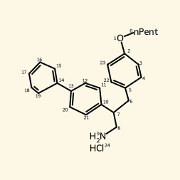 CCCCCOc1ccc(CC(CN)c2ccc(-c3ccccc3)cc2)cc1.Cl